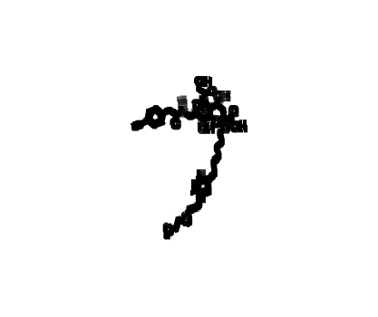 C#Cc1ccc(CC(=O)NC[C@@H](O)[C@@H](O)[C@@H]2O[C@@](OCCCCCCc3cn(CCOCCOC)nn3)(C(=O)O)C[C@H](O)[C@H]2NC(=O)CO)cc1